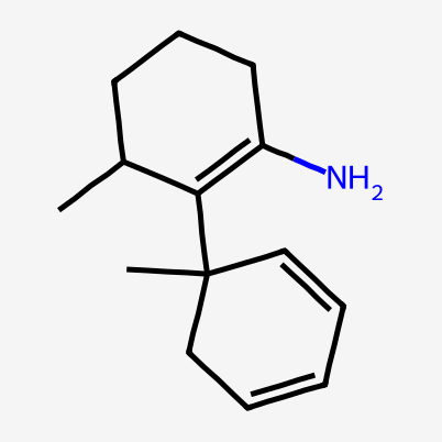 CC1CCCC(N)=C1C1(C)C=CC=CC1